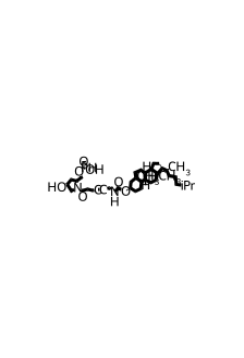 CC(C)CCC[C@@H](C)[C@H]1CC[C@H]2[C@@H]3CC=C4C[C@@H](OC(=O)NCCCCCC(=O)N5CC(O)CC5CO[PH](=O)O)CC[C@]4(C)[C@H]3CC[C@]12C